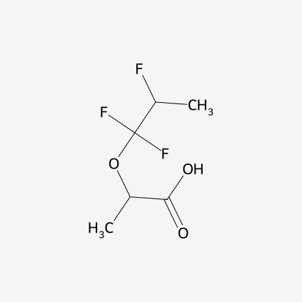 CC(OC(F)(F)C(C)F)C(=O)O